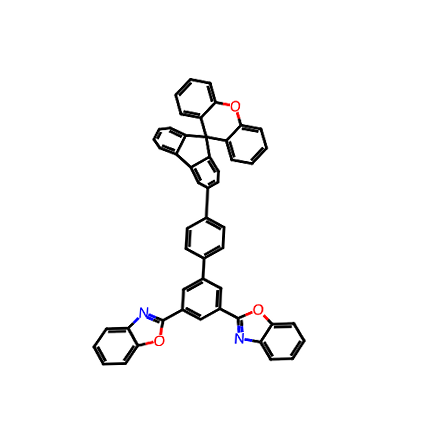 c1ccc2c(c1)Oc1ccccc1C21c2ccccc2-c2cc(-c3ccc(-c4cc(-c5nc6ccccc6o5)cc(-c5nc6ccccc6o5)c4)cc3)ccc21